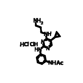 CC(=O)Nc1cccc(Nc2ncc(C3CC3)c(NCCCN)n2)c1.Cl.Cl